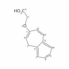 O=C(O)COC1=CCc2ccccc2C=C1